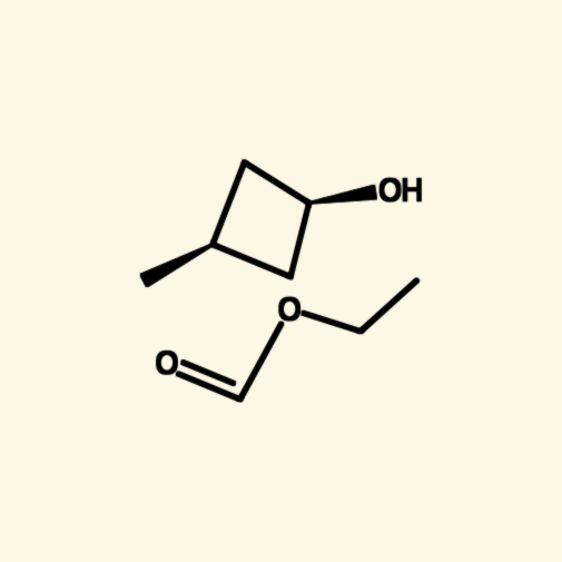 CCOC=O.C[C@H]1C[C@@H](O)C1